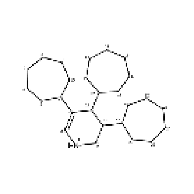 [CH]1NC=C(C2CCCCCC2)C(C2CCCCCC2)C1C1CCCCCC1